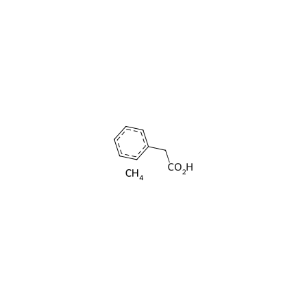 C.O=C(O)Cc1ccccc1